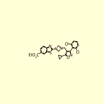 CCOC(=O)c1ccc2nc(N3CN(Cc4c(-c5c(Cl)cccc5Cl)noc4C4CC4)C3)sc2c1